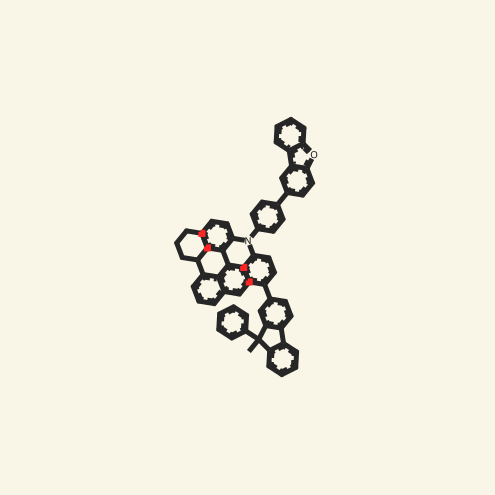 CC1(c2ccccc2)c2ccccc2-c2ccc(-c3ccc(N(c4ccc(-c5ccc6oc7ccccc7c6c5)cc4)c4ccccc4-c4cccc5cccc(C6CCCCC6)c45)cc3)cc21